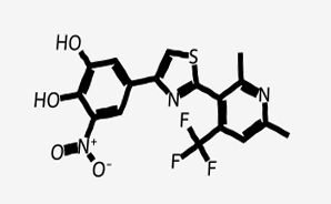 Cc1cc(C(F)(F)F)c(-c2nc(-c3cc(O)c(O)c([N+](=O)[O-])c3)cs2)c(C)n1